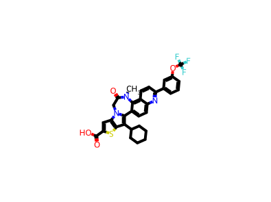 CN1C(=O)Cn2c(c(C3CCCCC3)c3sc(C(=O)O)cc32)-c2ccc3nc(-c4cccc(OC(F)(F)F)c4)ccc3c21